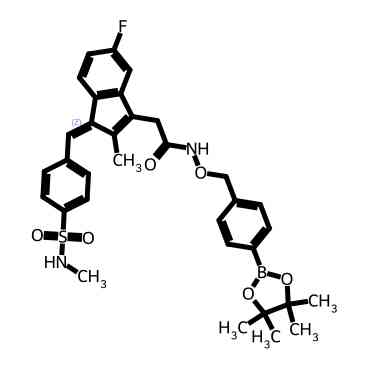 CNS(=O)(=O)c1ccc(/C=C2\C(C)=C(CC(=O)NOCc3ccc(B4OC(C)(C)C(C)(C)O4)cc3)c3cc(F)ccc32)cc1